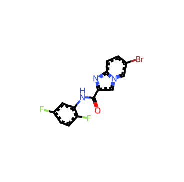 O=C(Nc1cc(F)ccc1F)c1cn2cc(Br)ccc2n1